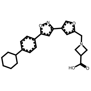 O=C(O)C1CN(Cc2cc(-c3cc(-c4ccc(C5CCCCC5)cc4)on3)co2)C1